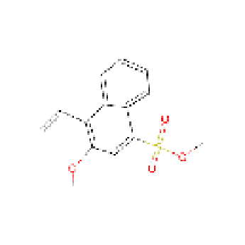 C=Cc1c(OC)cc(S(=O)(=O)OC)c2ccccc12